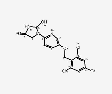 O=C1CN(c2ccc(OCc3c(Cl)cc(F)cc3Cl)cn2)C(O)N1